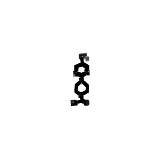 CCC(=O)N1CCN(c2ncc(C(F)(F)F)cn2)CC1